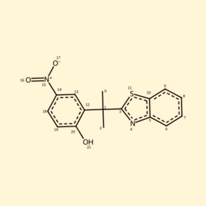 CC(C)(c1nc2ccccc2s1)c1cc([N+](=O)[O-])ccc1O